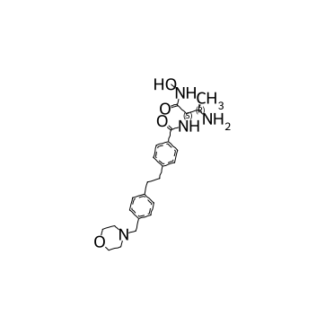 C[C@@H](N)[C@H](NC(=O)c1ccc(CCc2ccc(CN3CCOCC3)cc2)cc1)C(=O)NO